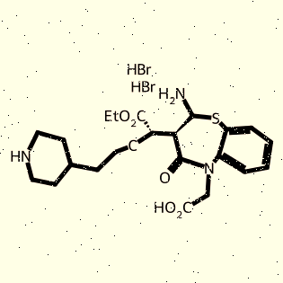 Br.Br.CCOC(=O)[C@@H](CCCC1CCNCC1)[C@@H]1C(=O)N(CC(=O)O)c2ccccc2SC1N